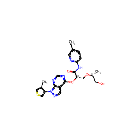 Cc1ccc(NC(=O)[C@H](CO[C@H](C)CO)Oc2ncnc3c2cnn3-c2cscc2C)nc1